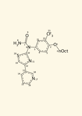 CCCCCCCCOc1ccc(N(C(N)=O)c2nc(-c3cccnc3)cs2)cc1C(F)(F)F